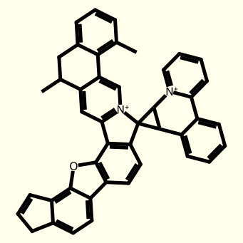 Cc1cccc2c1-c1c[n+]3c(cc1C(C)C2)-c1c(ccc2c1oc1c4c(ccc12)CC=C4)C31C2c3ccccc3-c3cccc[n+]3C21